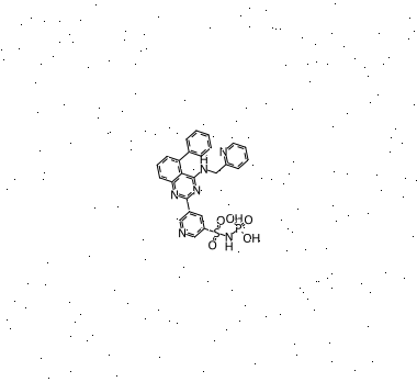 O=P(O)(O)NS(=O)(=O)c1cncc(-c2nc(NCc3ccccn3)c3c(-c4ccccc4)cccc3n2)c1